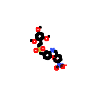 COc1cc(OC)c(/C=C/S(=O)(=O)Cc2ccc(OC)c(/N=C\c3ccc([N+](=O)[O-])cc3)c2)c(OC)c1